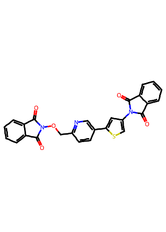 O=C1c2ccccc2C(=O)N1OCc1ccc(-c2cc(N3C(=O)c4ccccc4C3=O)cs2)cn1